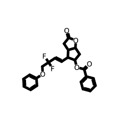 O=C1CC2C(CC(OC(=O)c3ccccc3)C2C=CC(F)(F)COc2ccccc2)O1